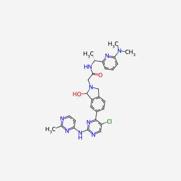 Cc1nccc(Nc2ncc(Cl)c(-c3ccc4c(c3)C(O)N(CC(=O)N[C@H](C)c3cccc(N(C)C)n3)C4)n2)n1